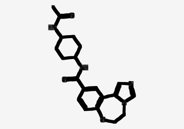 CC(=O)NC1CCC(NC(=O)c2ccc3c(c2)-c2cncn2CCO3)CC1